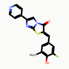 COc1cc(/C=c2\sc3nc(-c4ccncc4)cn3c2=O)cc(F)c1O